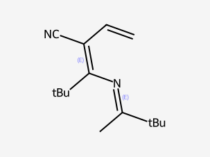 C=C/C(C#N)=C(\N=C(/C)C(C)(C)C)C(C)(C)C